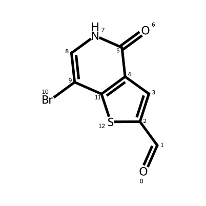 O=Cc1cc2c(=O)[nH]cc(Br)c2s1